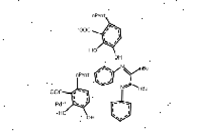 CCCCC(=Nc1ccccc1)C(CCCC)=Nc1ccccc1.CCCCCc1ccc(O)c(O)c1C(=O)[O-].CCCCCc1ccc(O)c(O)c1C(=O)[O-].[Pd+2]